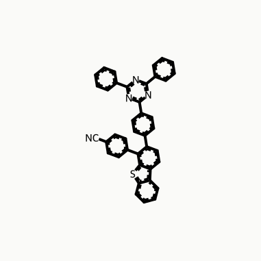 N#Cc1ccc(-c2c(-c3ccc(-c4nc(-c5ccccc5)nc(-c5ccccc5)n4)cc3)ccc3c2sc2ccccc23)cc1